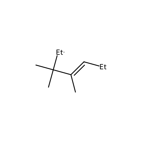 C[CH]C(C)(C)C(C)=CCC